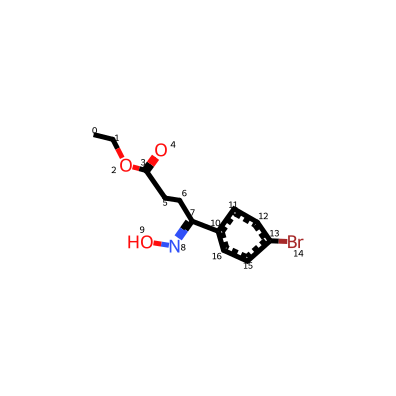 CCOC(=O)CCC(=NO)c1ccc(Br)cc1